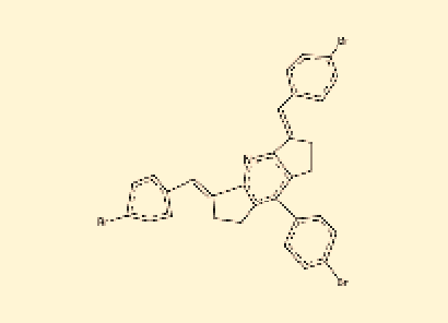 Brc1ccc(C=C2CCc3c2nc2c(c3-c3ccc(Br)cc3)CCC2=Cc2ccc(Br)cc2)cc1